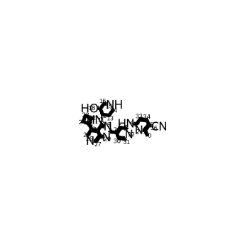 Cc1nc(Nc2cc(-c3nc(N[C@@H]4CCNC[C@@H]4O)c4c(C5CCC5)cncc4n3)ccn2)ccc1C#N